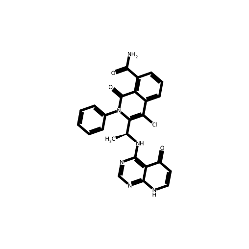 C[C@H](Nc1ncnc2[nH]ccc(=O)c12)c1c(Cl)c2cccc(C(N)=O)c2c(=O)n1-c1ccccc1